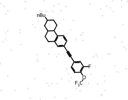 CCCCC1CCC2c3ccc(C#Cc4ccc(OC(F)(F)F)c(F)c4)cc3CCC2C1